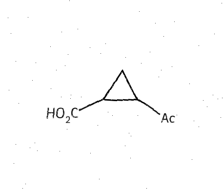 CC(=O)C1CC1C(=O)O